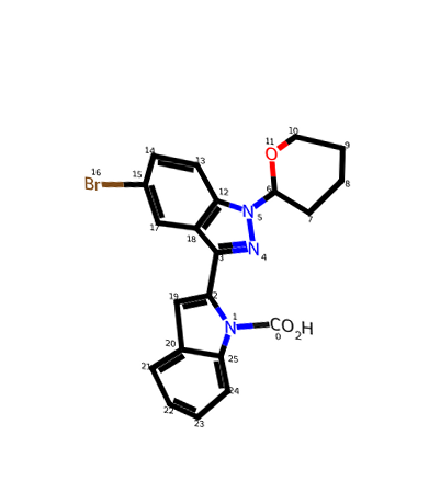 O=C(O)n1c(-c2nn(C3CCCCO3)c3ccc(Br)cc23)cc2ccccc21